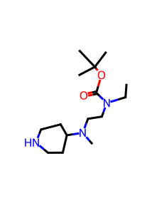 CCN(CCN(C)C1CCNCC1)C(=O)OC(C)(C)C